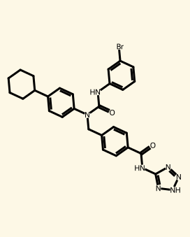 O=C(Nc1nn[nH]n1)c1ccc(CN(C(=O)Nc2cccc(Br)c2)c2ccc(C3CCCCC3)cc2)cc1